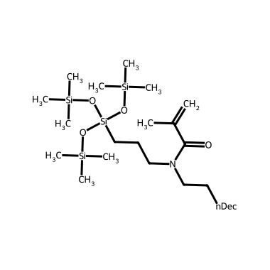 C=C(C)C(=O)N(CCCCCCCCCCCC)CCC[Si](O[Si](C)(C)C)(O[Si](C)(C)C)O[Si](C)(C)C